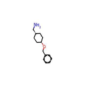 NC[C@H]1CC[C@@H](OCc2ccccc2)CC1